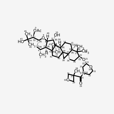 CC(=O)O[C@@H]([C@H]1C[C@@H](C)[C@H]2[C@H](O1)[C@H](O)[C@@]1(C)[C@@H]3CC[C@H]4C(C)(C)[C@@H](O[C@H]5CN(C(=O)C6(C)COC6)CCO5)CC[C@@]45C[C@@]35CC[C@]21C)C(C)(C)O